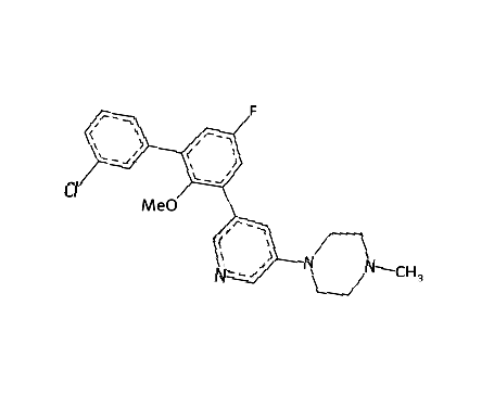 COc1c(-c2cccc(Cl)c2)cc(F)cc1-c1cncc(N2CCN(C)CC2)c1